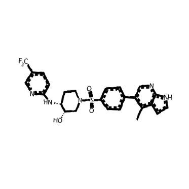 Cc1c(-c2ccc(S(=O)(=O)N3CC[C@@H](Nc4ccc(C(F)(F)F)cn4)[C@@H](O)C3)cc2)cnc2[nH]ccc12